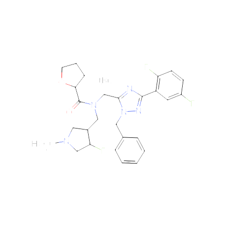 CC(C)(C)[C@H](c1nc(-c2cc(F)ccc2F)nn1Cc1ccccc1)N(CC1CN(C(=O)O)CC1F)C(=O)C1CCCO1